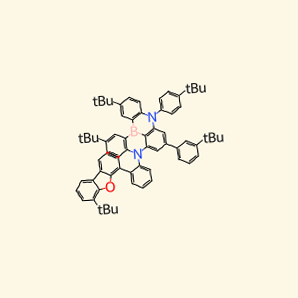 CC(C)(C)c1ccc(N2c3ccc(C(C)(C)C)cc3B3c4cc(C(C)(C)C)ccc4N(c4ccccc4-c4cccc5c4oc4c(C(C)(C)C)cccc45)c4cc(-c5cccc(C(C)(C)C)c5)cc2c43)cc1